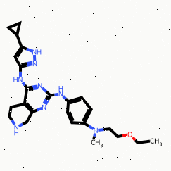 CCOCCN(C)c1ccc(Nc2nc3c(c(Nc4cc(C5CC5)[nH]n4)n2)CCNC3)cc1